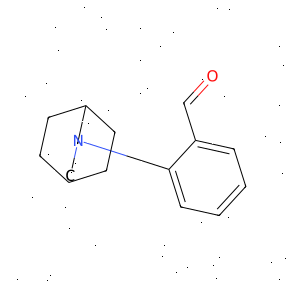 O=Cc1ccccc1N1CC2CCC(CC2)C1